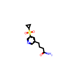 NC(=O)CC[CH]c1cncc(S(=O)(=O)C2CC2)c1